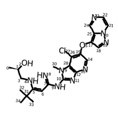 C[C@@H](O)CN/C(=C\C(=N)Nc1nc2ncc(Oc3cnn4ccncc34)c(Cl)c2n1C)C(C)(C)C